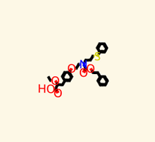 CCOC(Cc1ccc(OCCN(CCCSc2ccccc2)C(=O)OCCc2ccccc2)cc1)C(=O)O